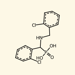 O=P(O)(O)C(NCc1ccccc1Cl)c1ccccc1Cl